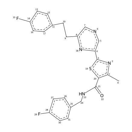 Cc1nc(-c2cncc(CCc3ccc(F)cc3)n2)sc1C(=O)NCc1ccc(F)cc1